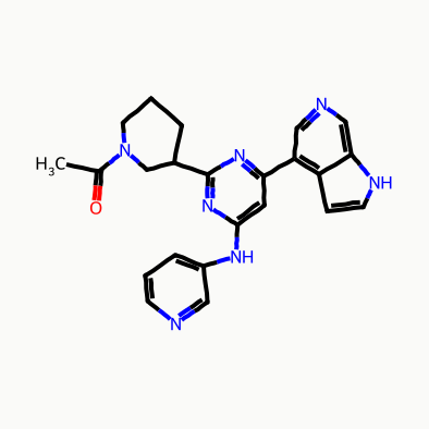 CC(=O)N1CCCC(c2nc(Nc3cccnc3)cc(-c3cncc4[nH]ccc34)n2)C1